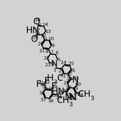 Cc1c(CN2CCC(c3ccc(C4CCC(=O)NC4=O)cc3)CC2)cccc1-c1cc2c(N[C@H](C)c3cccc(C(F)F)c3F)nnc(C)c2cn1